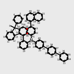 CC1(c2ccccc2)c2ccccc2-c2c(-c3ccccc3N(c3ccc(-c4ccc(-c5ccccc5)cc4)cc3)c3ccc(-c4cccc5ccccc45)cc3)cccc21